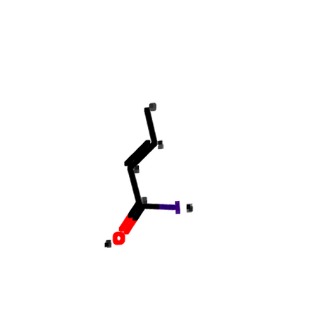 C/C=C/C(=O)I